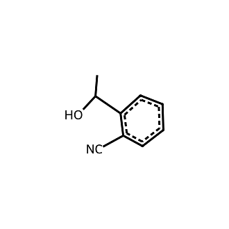 CC(O)c1ccccc1C#N